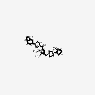 Cc1c(CN2CCN(c3ccccc3Cl)CC2)cc(C(=O)N2CCN(c3ccc4cc[nH]c4c3)CC2)n1C